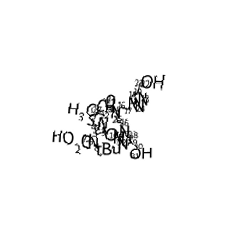 CC1(C)SC2[C@H](N(C(=O)O)C(C)(C)C)C(=O)N2[C@H]1C(=O)N(CCn1cc(CO)nn1)CCn1cc(CO)nn1